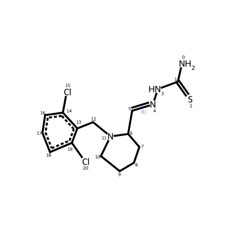 NC(=S)N/N=C/C1CCCCN1Cc1c(Cl)cccc1Cl